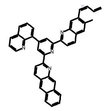 C=C/C=C\c1cc2nc(-c3cc(-c4cccc5cccnc45)cc(-c4ccc5cc6ccccc6cc5n4)n3)ccc2cc1C